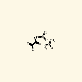 CCN(CC)CC.C[S+](C)[O-].O=C(Cl)C(=O)Cl